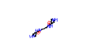 CC1(C)CC(=CC(=O)NCCCCCCNC(=O)C=C2CC(C)(C)NC(C)(C)C2)CC(C)(C)N1